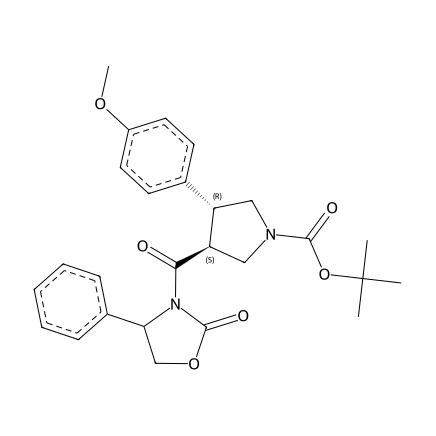 COc1ccc([C@@H]2CN(C(=O)OC(C)(C)C)C[C@H]2C(=O)N2C(=O)OCC2c2ccccc2)cc1